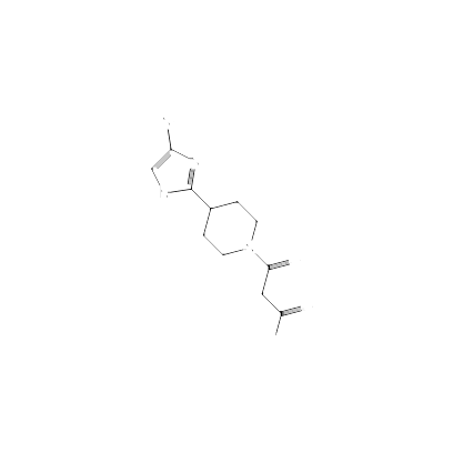 [C-]#[N+]c1c[nH]c(C2CCN(C(=O)CC(=O)CC)CC2)n1